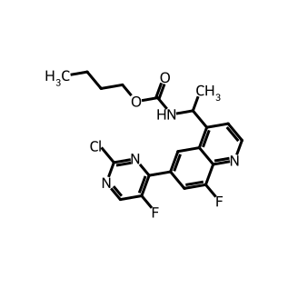 CCCCOC(=O)NC(C)c1ccnc2c(F)cc(-c3nc(Cl)ncc3F)cc12